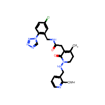 COc1ncccc1CNN1CCC(C)=C(CC(=O)NCc2cc(Cl)ccc2-n2cnnn2)C1=O